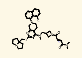 CN(C)C(=O)/C=C/C(=O)N1CC(CN(C)c2nc(OCC34CCCN3CCC4)nc3c2CCN(c2cccc4cccc(Cl)c24)C3)C1